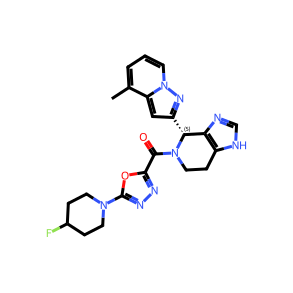 Cc1cccn2nc([C@@H]3c4nc[nH]c4CCN3C(=O)c3nnc(N4CCC(F)CC4)o3)cc12